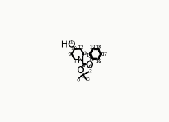 CC(C)(C)OC(=O)N1CCC(O)C[C@H]1c1ccccc1